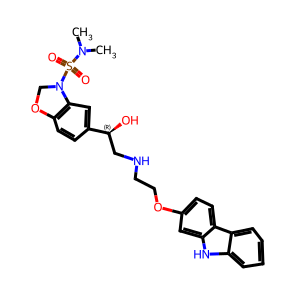 CN(C)S(=O)(=O)N1COc2ccc([C@@H](O)CNCCOc3ccc4c(c3)[nH]c3ccccc34)cc21